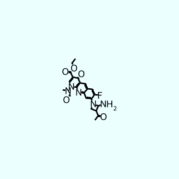 CCOC(=O)c1cn(N(C)C=O)c2nc3cc(N4CC(C(C)=O)C4N)c(F)cc3cc2c1=O